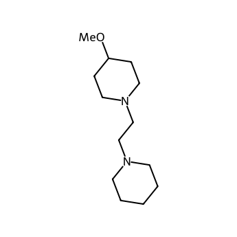 COC1CCN(CCN2CCCCC2)CC1